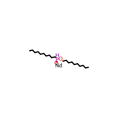 CCCCCCCCCCO[PH](=O)CCCCCCCCCC.[Nd]